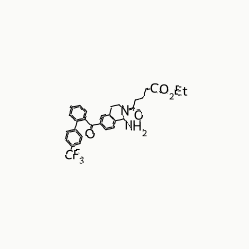 CCOC(=O)CCCC(=O)N1CCc2cc(C(=O)c3ccccc3-c3ccc(C(F)(F)F)cc3)ccc2C1N